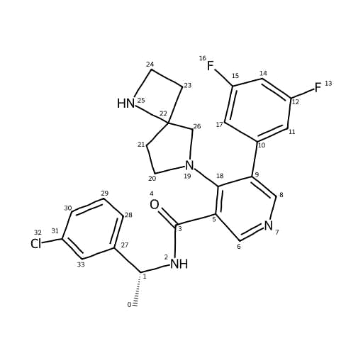 C[C@@H](NC(=O)c1cncc(-c2cc(F)cc(F)c2)c1N1CCC2(CCN2)C1)c1cccc(Cl)c1